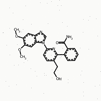 COc1cc2ncn(-c3ccc(CCO)c(-c4ccccc4C(N)=O)n3)c2cc1OC